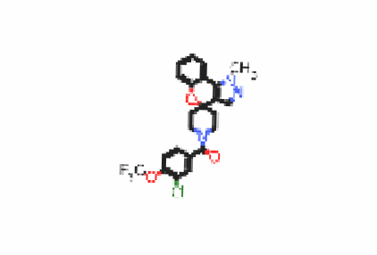 Cn1ncc2c1-c1ccccc1OC21CCN(C(=O)c2ccc(OC(F)(F)F)c(Cl)c2)CC1